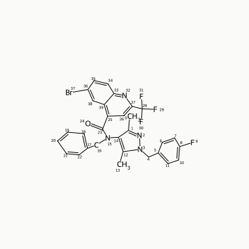 Cc1nn(Cc2ccc(F)cc2)c(C)c1N(Cc1ccccc1)C(=O)c1cc(C(F)(F)F)nc2ccc(Br)cc12